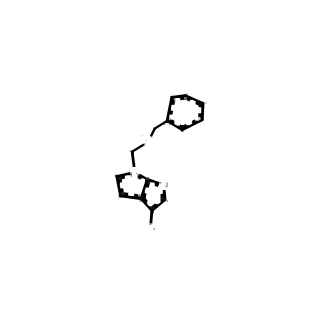 Oc1c[nH]c2c1ccn2CNCc1ccccc1